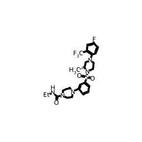 CCNC(=O)N1CCN(c2cccc(S(=O)(=O)N3CCN(c4ccc(F)cc4C(F)(F)F)C[C@H]3C)c2)CC1